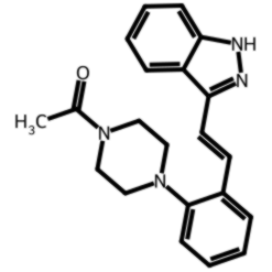 CC(=O)N1CCN(c2ccccc2C=Cc2n[nH]c3ccccc23)CC1